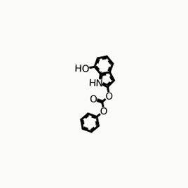 O=C(Oc1ccccc1)Oc1cc2cccc(O)c2[nH]1